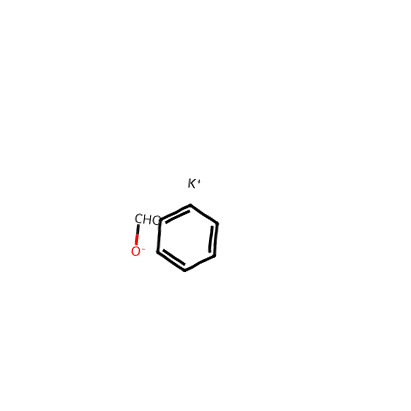 O=C[O-].[K+].c1ccccc1